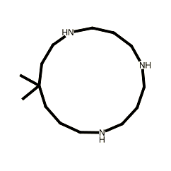 CC1(C)CCCNCCCNCCCNCC1